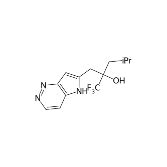 CC(C)CC(O)(Cc1cc2nnccc2[nH]1)C(F)(F)F